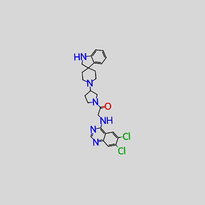 O=C(CNc1ncnc2cc(Cl)c(Cl)cc12)N1CCC(N2CCC3(CC2)CNc2ccccc23)C1